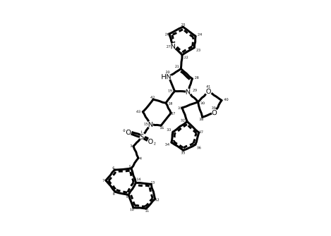 O=S(=O)(CCc1cccc2ccccc12)N1CCC(C2NC(c3ccccn3)=CN2C2(Cc3ccccc3)COCO2)CC1